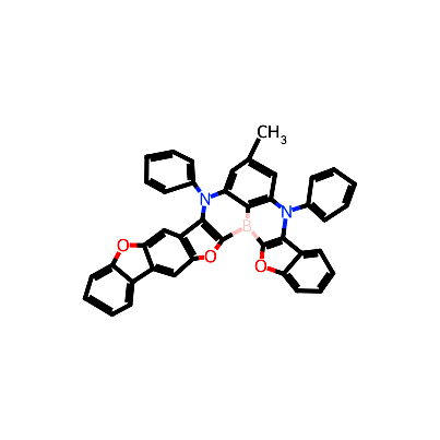 Cc1cc2c3c(c1)N(c1ccccc1)c1c(oc4cc5c(cc14)oc1ccccc15)B3c1oc3ccccc3c1N2c1ccccc1